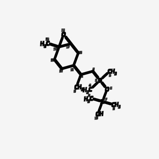 CC(C[Si](C)(C)O[Si](C)(C)O)C1CCC2(C)OC2C1